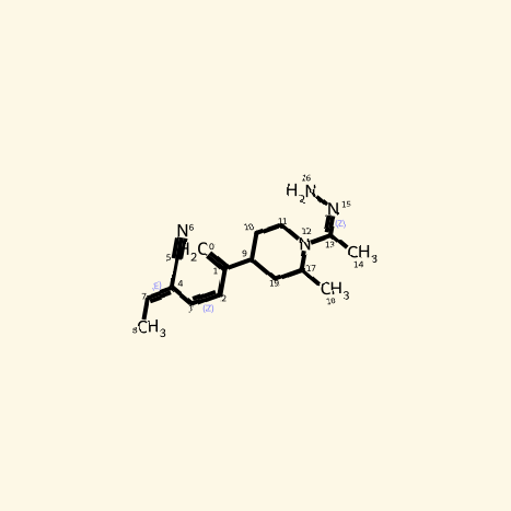 C=C(/C=C\C(C#N)=C/C)C1CCN(/C(C)=N\N)C(C)C1